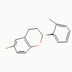 Cc1ccccc1[C@@H]1CCc2cc(Br)ccc2O1